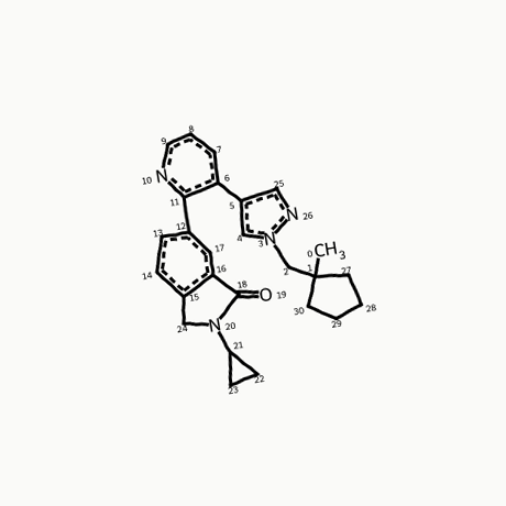 CC1(Cn2cc(-c3cccnc3-c3ccc4c(c3)C(=O)N(C3CC3)C4)cn2)CCCC1